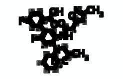 Cc1cc(CC(=O)Nc2cc(-c3cc(F)ccc3C(=O)O)c(F)cc2N(CC(C)C)C2CCCCC2)on1